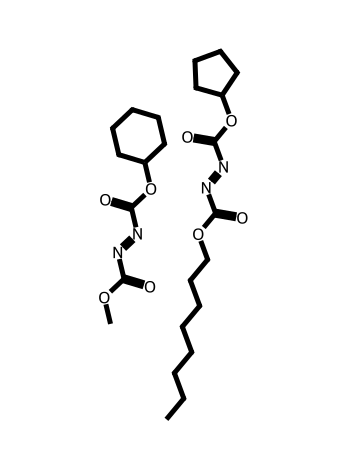 CCCCCCCCOC(=O)N=NC(=O)OC1CCCC1.COC(=O)N=NC(=O)OC1CCCCC1